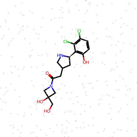 O=C(CC1CN[C@@H](c2c(O)ccc(Cl)c2Cl)C1)N1CC(O)(CO)C1